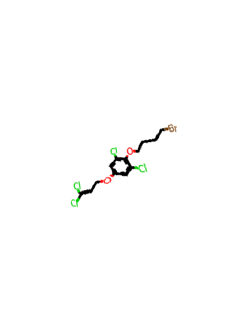 ClC(Cl)=CCOc1cc(Cl)c(OCCCCBr)c(Cl)c1